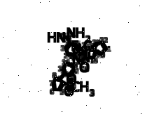 CS(=O)(=O)c1ccccc1-c1ccc(NC(=O)N(Cc2ccccc2C(F)(F)F)Nc2cccc(C(=N)N)c2)cc1